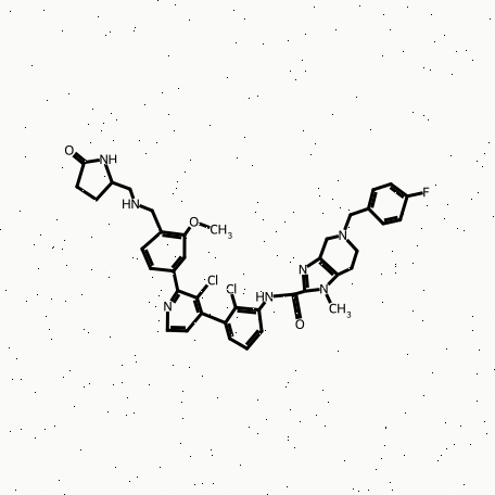 COc1cc(-c2nccc(-c3cccc(NC(=O)c4nc5c(n4C)CCN(Cc4ccc(F)cc4)C5)c3Cl)c2Cl)ccc1CNCC1CCC(=O)N1